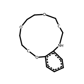 c1ccc2c(c1)NCCCOCCOCCCO2